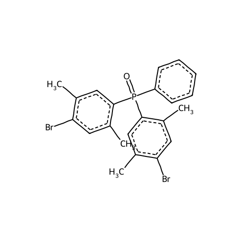 Cc1cc(P(=O)(c2ccccc2)c2cc(C)c(Br)cc2C)c(C)cc1Br